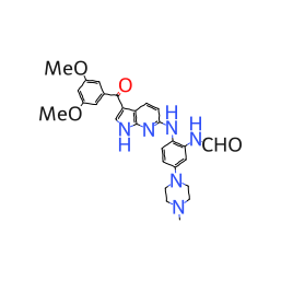 COc1cc(OC)cc(C(=O)c2c[nH]c3nc(Nc4ccc(N5CCN(C)CC5)cc4NC=O)ccc23)c1